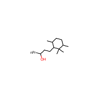 CCCC(O)CCC1C(C)CCC(C)C1(C)C